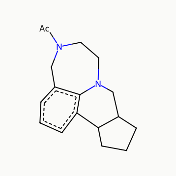 CC(=O)N1CCN2CC3CCCC3c3cccc(c32)C1